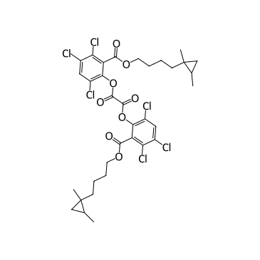 CC1CC1(C)CCCCOC(=O)c1c(Cl)c(Cl)cc(Cl)c1OC(=O)C(=O)Oc1c(Cl)cc(Cl)c(Cl)c1C(=O)OCCCCC1(C)CC1C